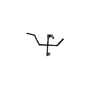 CCCC(N)(S)CC